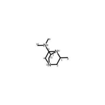 CC1CN2CCN1C(N(C)C)C2